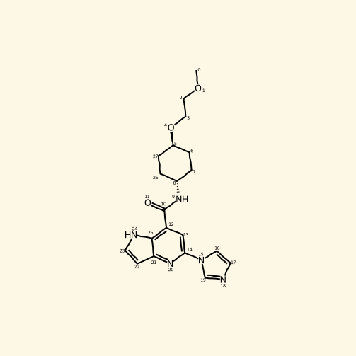 COCCO[C@H]1CC[C@H](NC(=O)c2cc(-n3ccnc3)nc3cc[nH]c23)CC1